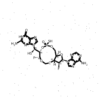 Nc1nc2c(ncn2[C@H](S)[C@@H]2OP(=O)(S)OC[C@H]3O[C@@H](n4cnc5c(N)ncnc54)[C@@H](F)[C@@H]3CCO[C@@H]2F)c(=O)[nH]1